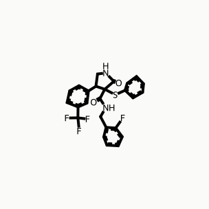 O=C(NCc1ccccc1F)C1(Sc2ccccc2)C(=O)NCC1c1cccc(C(F)(F)F)c1